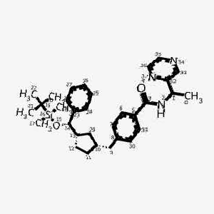 CC(NC(=O)c1ccc(C[C@@H]2CC[C@H]([C@H](O[Si](C)(C)C(C)(C)C)c3ccccc3)C2)cc1)c1cnccn1